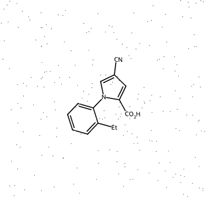 CCc1ccccc1-n1cc(C#N)cc1C(=O)O